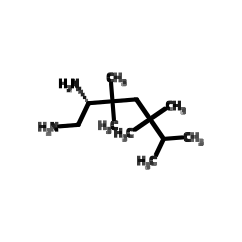 CC(C)C(C)(C)CC(C)(C)[C@@H](N)CN